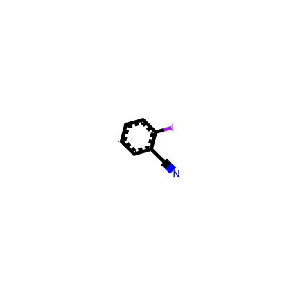 N#Cc1c[c]ccc1I